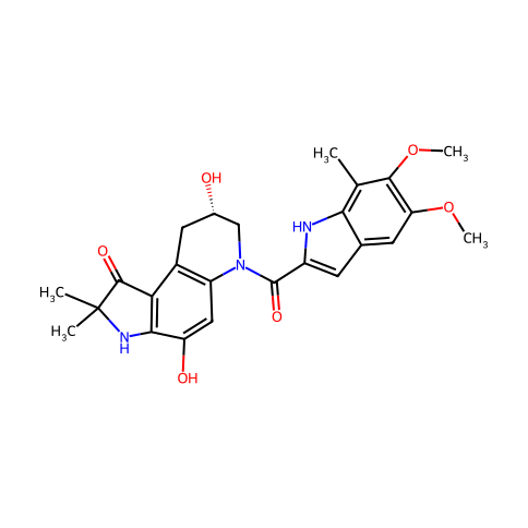 COc1cc2cc(C(=O)N3C[C@@H](O)Cc4c3cc(O)c3c4C(=O)C(C)(C)N3)[nH]c2c(C)c1OC